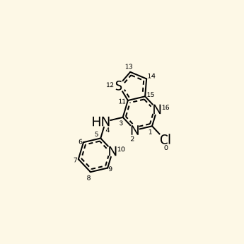 Clc1nc(Nc2ccccn2)c2sccc2n1